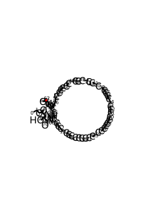 CCOC(=O)c1nc(N2CCCCCCCCCCCCCCCCCCCCCCCCCCCCCCCCCCCCCCCCCCCCCCCCC3(CCN(C(C)=O)C3)CC2)n(C)c(=O)c1O